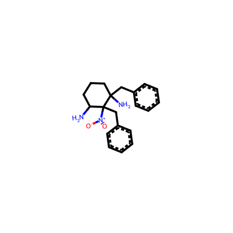 NC1CCCC(N)(Cc2ccccc2)C1(Cc1ccccc1)[N+](=O)[O-]